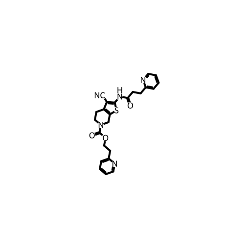 N#Cc1c(NC(=O)CCc2ccccn2)sc2c1CCN(C(=O)OCCc1ccccn1)C2